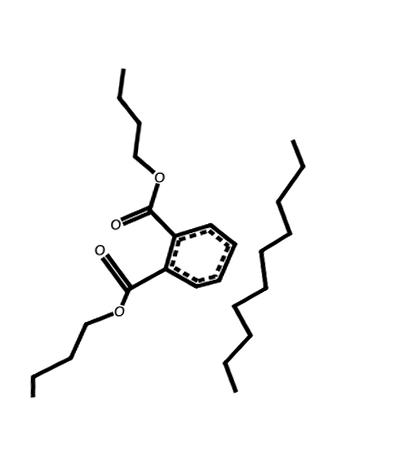 CCCCCCCCCC.CCCCOC(=O)c1ccccc1C(=O)OCCCC